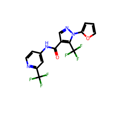 O=C(Nc1ccnc(C(F)(F)F)c1)c1cnn(-c2ccco2)c1C(F)(F)F